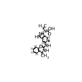 CCN(C(=O)O)c1n[nH]c2cc(NC(=O)NC(C)c3ccccc3)ncc12